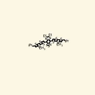 CCc1nc2c(-c3cc4sc5c6sc(CC(C)C)cc6n(C)c5c4s3)c3nsnc3c(-c3cc4sc5c6sc(CC(C)C)cc6n(C)c5c4s3)c2nc1CC